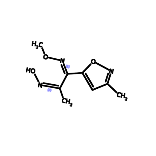 CO/N=C(\C(C)=N/O)c1cc(C)no1